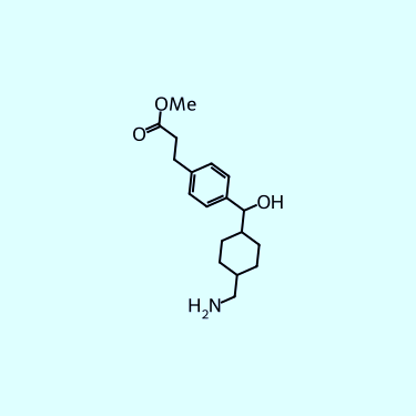 COC(=O)CCc1ccc(C(O)C2CCC(CN)CC2)cc1